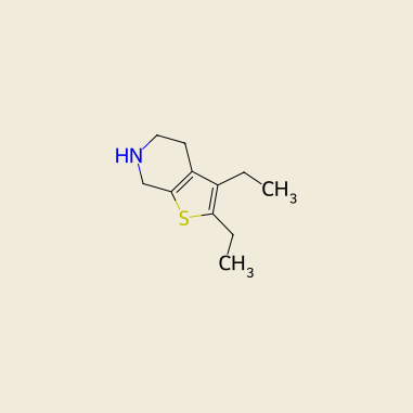 CCc1sc2c(c1CC)CCNC2